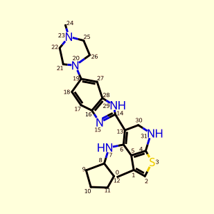 Cc1csc2c1C(NC1CCCC1)=C(c1nc3ccc(N4CCN(C)CC4)cc3[nH]1)CN2